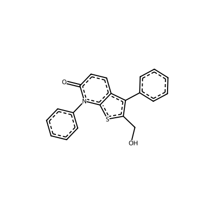 O=c1ccc2c(-c3ccccc3)c(CO)sc2n1-c1ccccc1